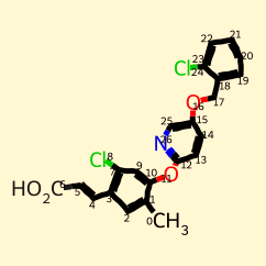 Cc1cc(/C=C/C(=O)O)c(Cl)cc1Oc1ccc(OCc2ccccc2Cl)cn1